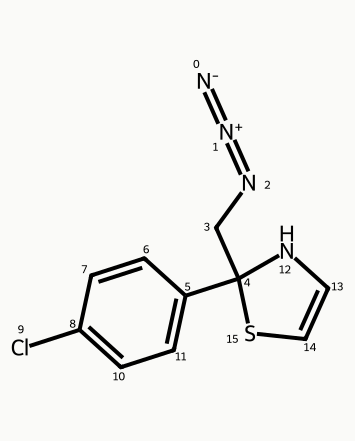 [N-]=[N+]=NCC1(c2ccc(Cl)cc2)NC=CS1